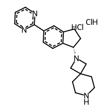 Cl.Cl.c1cnc(-c2ccc3c(c2)CC[C@@H]3N2CC3(CCNCC3)C2)nc1